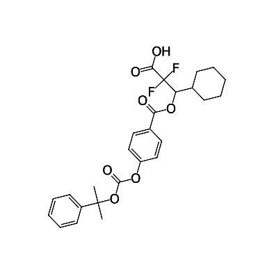 CC(C)(OC(=O)Oc1ccc(C(=O)OC(C2CCCCC2)C(F)(F)C(=O)O)cc1)c1ccccc1